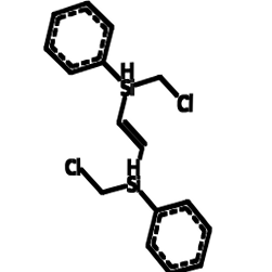 ClC[SiH](/C=C/[SiH](CCl)c1ccccc1)c1ccccc1